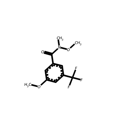 COc1cc(C(=O)N(C)OC)cc(C(F)(F)F)c1